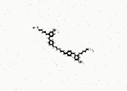 CCCCCCc1cc(N)ccc1Cc1ccc(CCCCCCCc2ccc(Cc3ccc(N)cc3CCCCCC)cc2)cc1